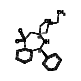 CCCC[C@@]1(CC)CS(=O)(=O)c2ccccc2[C@H](c2ccccc2)N1